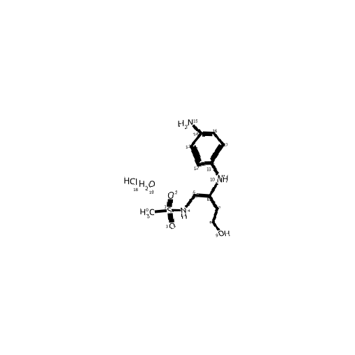 CS(=O)(=O)NCC(CCO)Nc1ccc(N)cc1.Cl.O